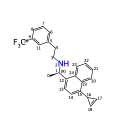 C[C@@H](NCCc1cccc(C(F)(F)F)c1)c1ccc(C2C=C2)c2ccccc12